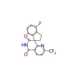 O=C1NC(=O)C2(CCc3c(F)cccc32)c2nc(C(F)(F)F)ccc21